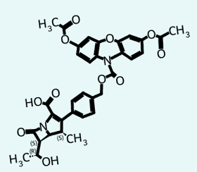 CC(=O)Oc1ccc2c(c1)Oc1cc(OC(C)=O)ccc1N2C(=O)OCc1ccc(C2=C(C(=O)O)N3C(=O)[C@H]([C@@H](C)O)C3[C@H]2C)cc1